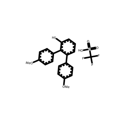 COc1ccc(-c2cccc(S)c2-c2ccc(OC)cc2)cc1.O=S(=O)(O)C(F)(F)F